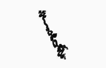 CCC(=O)OCCCCCCOc1ccc(C(=O)Oc2ccc(C(=O)Oc3ccc(C)cc3C)cc2)cc1